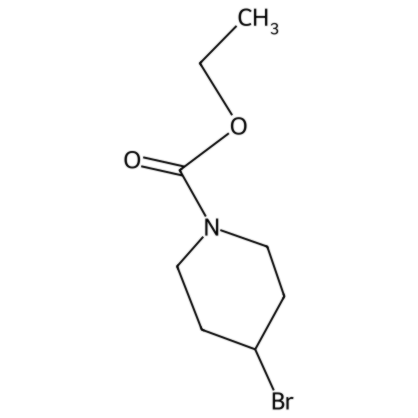 CCOC(=O)N1CCC(Br)CC1